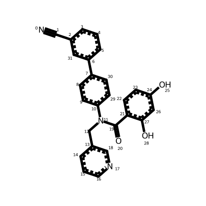 N#Cc1cccc(-c2ccc(N(Cc3cccnc3)C(=O)c3ccc(O)cc3O)cc2)c1